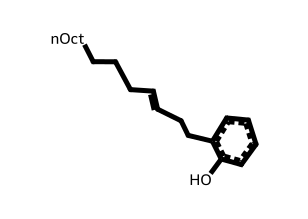 CCCCCCCCCCCC=CCCc1ccccc1O